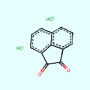 Cl.Cl.O=C1C(=O)c2cccc3cccc1c23